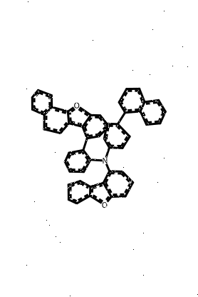 c1ccc(N(c2ccc(-c3cccc4ccccc34)cc2)c2cccc3oc4ccccc4c23)c(-c2cccc3oc4c5ccccc5ccc4c23)c1